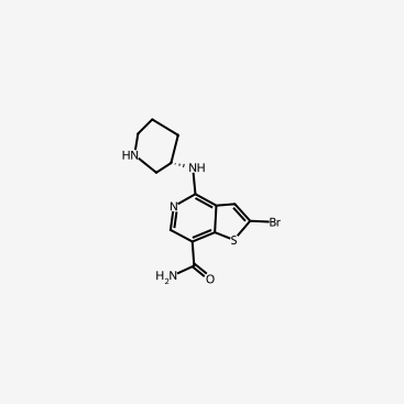 NC(=O)c1cnc(N[C@H]2CCCNC2)c2cc(Br)sc12